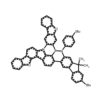 CC(C)(C)c1ccc(N2B3c4cc5oc6ccccc6c5cc4-n4c5ccc6c7ccccc7oc6c5c5ccc(c3c54)-c3cc4c(cc32)C(C)(C)c2cc(C(C)(C)C)ccc2-4)cc1